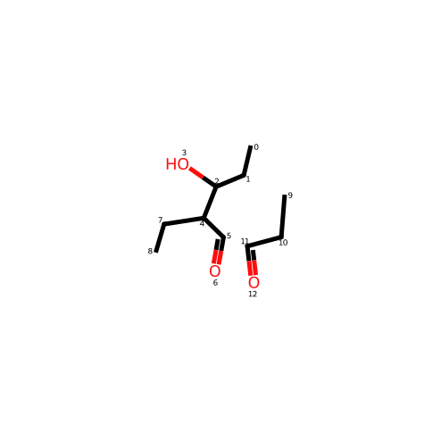 CCC(O)C(C=O)CC.CCC=O